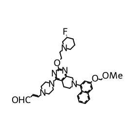 COCOc1cc(N2CCc3c(nc(OCCN4CCC[C@@H](F)C4)nc3N3CCN(C=CC=O)CC3)C2)c2ccccc2c1